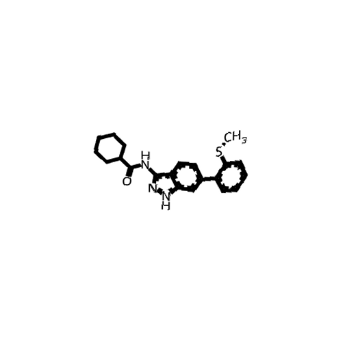 CSc1ccccc1-c1ccc2c(NC(=O)C3CCCCC3)n[nH]c2c1